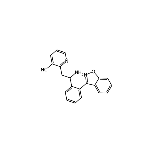 N#Cc1cccnc1CC(N)c1ccccc1-c1noc2ccccc12